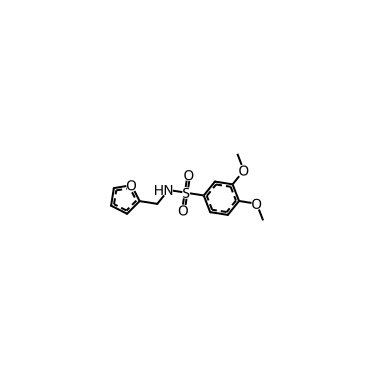 COc1ccc(S(=O)(=O)NCc2ccco2)cc1OC